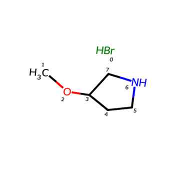 Br.COC1CCNC1